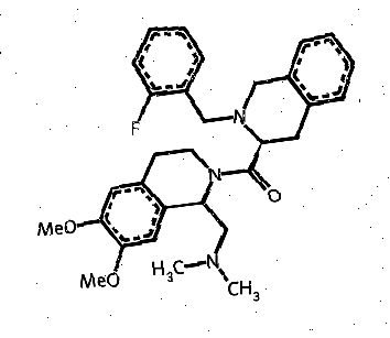 COc1cc2c(cc1OC)C(CN(C)C)N(C(=O)[C@@H]1Cc3ccccc3CN1Cc1ccccc1F)CC2